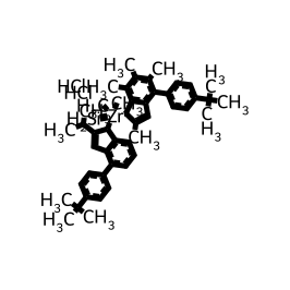 CC1=Cc2c(-c3ccc(C(C)(C)C)cc3)c(C)c(C)c(C)c2[CH]1[Zr]([CH3])([CH3])(=[SiH2])[CH]1C(C(C)C)=Cc2c(-c3ccc(C(C)(C)C)cc3)cccc21.Cl.Cl